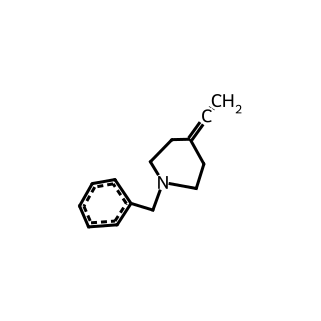 C=C=C1CCN(Cc2ccccc2)CC1